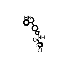 O=C(NC1CC2(CCC(C3CCNc4ccccc43)CC2)C1)c1ccc(Cl)s1